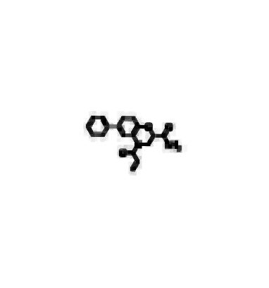 C=CC(=O)N1CC(C(N)=O)Oc2ccc(-c3ccccc3)cc21